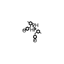 COc1ccc(Cc2cc(C)ccc2PCCPc2ccc(C)cc2Cc2ccc(OC)cc2)cc1